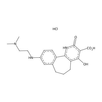 CN(C)CCNc1ccc2c(c1)CCCc1c-2[nH]c(=O)c(C(=O)O)c1O.Cl